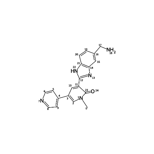 Cn1cc(-c2ccncc2)cc(-c2nc3cc(CN)ccc3[nH]2)c1=O